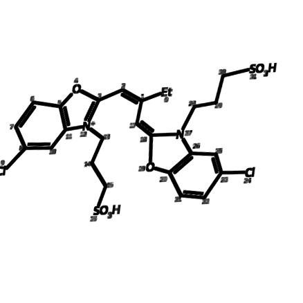 CCC(=Cc1oc2ccc(Cl)cc2[n+]1CCCS(=O)(=O)O)C=C1Oc2ccc(Cl)cc2N1CCCS(=O)(=O)O